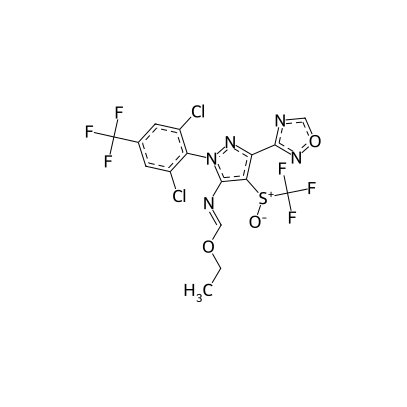 CCO/C=N/c1c([S+]([O-])C(F)(F)F)c(-c2ncon2)nn1-c1c(Cl)cc(C(F)(F)F)cc1Cl